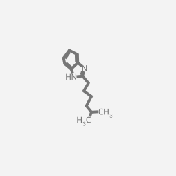 CC(C)CCCCc1nc2ccccc2[nH]1